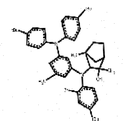 Cc1cc(N(c2ccc(C(C)(C)C)cc2)c2ccc(C(C)(C)C)cc2)cc(N(c2ccc(C(C)(C)C)cc2Br)C2C3(C)CCC(C3)C2(C)C)c1